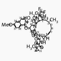 CC[C@@H]1C[C@H](C)CC/C=C\[C@@H]2C[C@@]2(C(=O)NS(=O)(=O)C2(C)CC2)NC(=O)[C@@H]2C[C@@H](Oc3nccc4cc(OC)ccc34)CN2C(=O)[C@H]1N(C(=O)O)C(C)(C)C(F)F